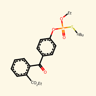 CCCCSP(=O)(OCC)Oc1ccc(C(=O)c2ccccc2C(=O)OCC)cc1